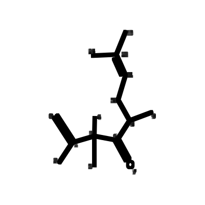 C=C(C)C(C)(C)C(=O)C(C)CC=C(C)C